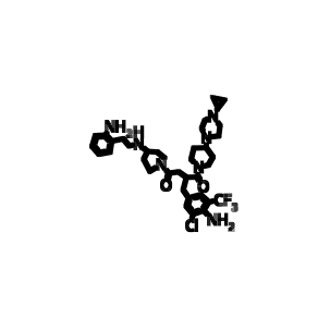 Nc1ccccc1CCNC1CCN(C(=O)CC(Cc2cc(Cl)c(N)c(C(F)(F)F)c2)C(=O)N2CCC(N3CCN(C4CC4)CC3)CC2)CC1